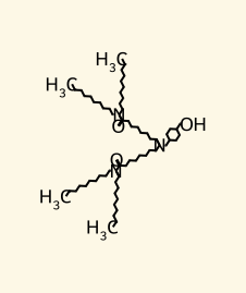 CCCCCCCCCCN(CCCCCCCCCC)C(=O)CCCCCCCN(CCCCCCCC(=O)N(CCCCCCCCCC)CCCCCCCCCC)CC1CCC(CO)CC1